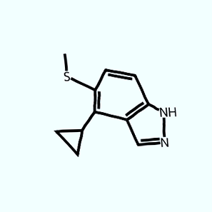 CSc1ccc2[nH]ncc2c1C1CC1